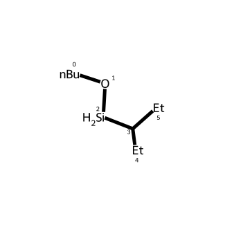 CCCCO[SiH2]C(CC)CC